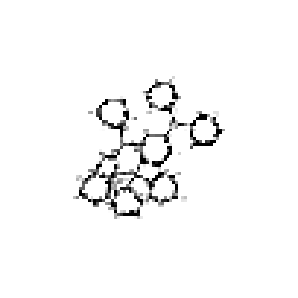 c1ccc(N(c2ccccc2)c2ccc3c(c2)N(c2ccccc2)c2nc4ccccc4n2C3(c2ccccc2)c2ccccc2)cc1